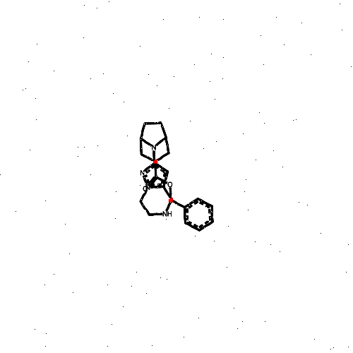 O=C(OCc1ccccc1)N1CC2CCC(C1)N2c1cc2n(n1)CCNC2